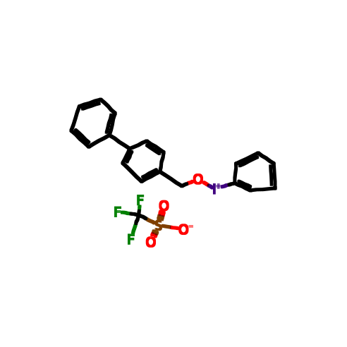 O=S(=O)([O-])C(F)(F)F.c1ccc([I+]OCc2ccc(-c3ccccc3)cc2)cc1